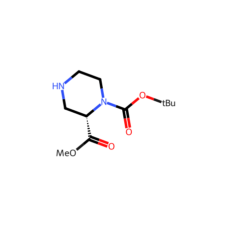 COC(=O)[C@@H]1CNCCN1C(=O)OC(C)(C)C